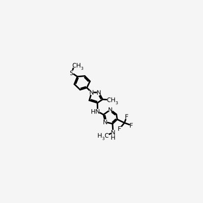 CNc1nc(Nc2cn(-c3ccc(SC)cc3)nc2C)ncc1C(F)(F)F